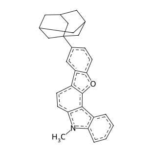 Cn1c2ccccc2c2c3oc4ccc(C56CC7CC(CC(C7)C5)C6)cc4c3ccc21